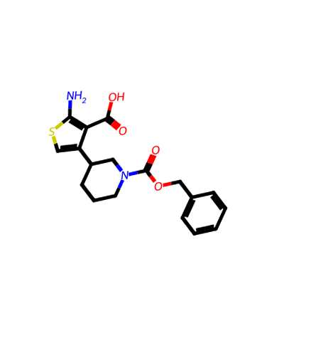 Nc1scc(C2CCCN(C(=O)OCc3ccccc3)C2)c1C(=O)O